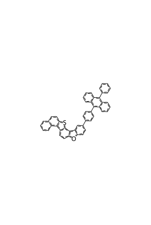 c1ccc(-c2c3ccccc3c(-c3ccc(-c4ccc5oc6ccc7c(sc8ccc9ccccc9c87)c6c5c4)cc3)c3ccccc23)cc1